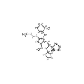 CCCCc1nc(C=O)c(/C=C(\Cc2cccs2)c2nnn[nH]2)n1Cc1ccccc1Cl